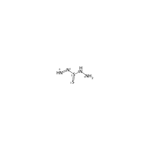 N=NS(=S)NN